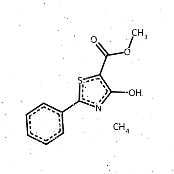 C.COC(=O)c1sc(-c2ccccc2)nc1O